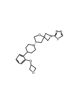 c1ccc(C2CCN([C@@H]3COC4(C3)CN(c3nncs3)C4)CC2)c(OC2COC2)c1